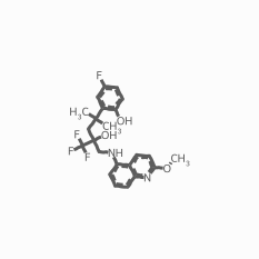 COc1ccc2c(NCC(O)(CC(C)(C)c3cc(F)ccc3O)C(F)(F)F)cccc2n1